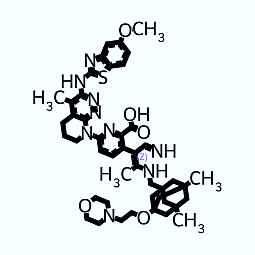 COc1ccc2sc(Nc3nnc4c(c3C)CCCN4c3ccc(/C(C=N)=C(\C)NCC45CC6(C)CC(C)(C4)CC(OCCN4CCOCC4)(C6)C5)c(C(=O)O)n3)nc2c1